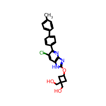 Cc1ccc(-c2ccc(-c3nc4nc(OC5CC(CO)(CO)C5)[nH]c4cc3Cl)cc2)cc1